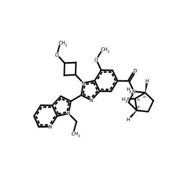 CCn1c(-c2nc3cc(C(=O)N4C[C@H]5CC[C@@H]4[C@@H]5N)cc(OC)c3n2C2CC(OC)C2)cc2cccnc21